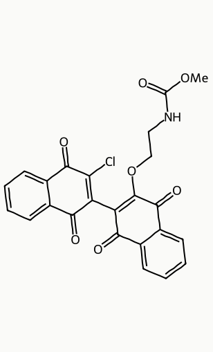 COC(=O)NCCOC1=C(C2=C(Cl)C(=O)c3ccccc3C2=O)C(=O)c2ccccc2C1=O